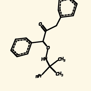 CCCC(C)(C)NOC(C(=O)Cc1ccccc1)c1ccccc1